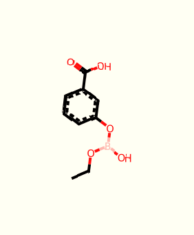 CCOB(O)Oc1cccc(C(=O)O)c1